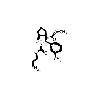 C=CCOC(=O)N[C@@H](c1cccc(C)c1)[C@]1(C(=O)OC)CCCC1=O